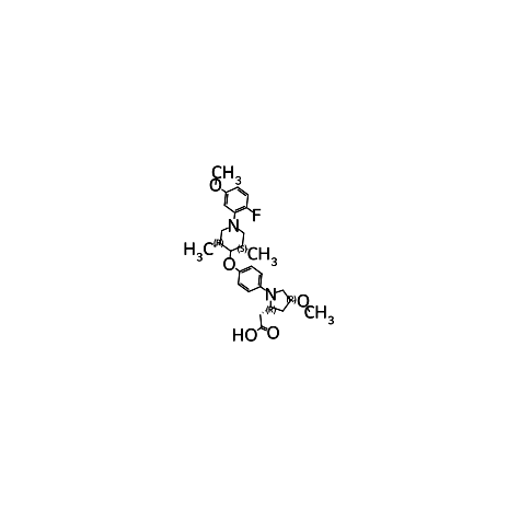 COc1ccc(F)c(N2C[C@@H](C)C(Oc3ccc(N4C[C@H](OC)C[C@@H]4CC(=O)O)cc3)[C@@H](C)C2)c1